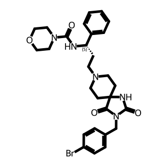 O=C(N[C@@H](CCN1CCC2(CC1)NC(=O)N(Cc1ccc(Br)cc1)C2=O)c1ccccc1)N1CCOCC1